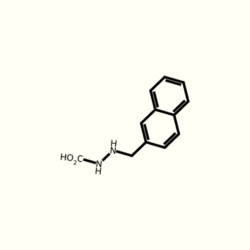 O=C(O)NNCc1ccc2ccccc2c1